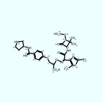 CC1(C)[C@H](NC(=O)/C(=N\OC(COc2ccc(C(=N)N[C@H]3CCNC3)cc2)C(=O)O)c2nc(N)sc2C(F)(F)F)C(=O)N1OS(=O)(=O)O